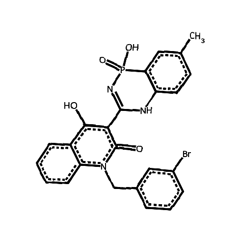 Cc1ccc2c(c1)P(=O)(O)N=C(c1c(O)c3ccccc3n(Cc3cccc(Br)c3)c1=O)N2